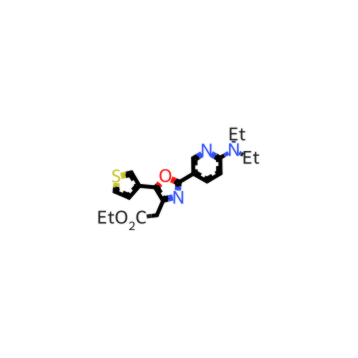 CCOC(=O)Cc1nc(-c2ccc(N(CC)CC)nc2)oc1-c1ccsc1